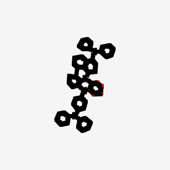 c1ccc(-c2cccc(N(c3ccccc3)c3ccc(N(c4ccccc4)c4ccccc4)cc3)c2N(c2ccccc2)c2ccc(N(c3ccccc3)c3ccccc3)cc2)cc1